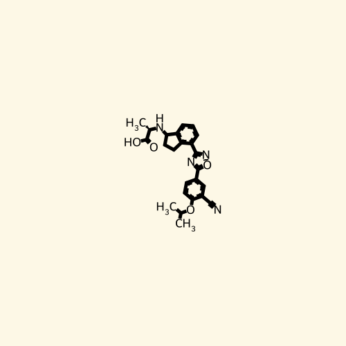 CC(C)Oc1ccc(-c2nc(-c3cccc4c3CCC4N[C@H](C)C(=O)O)no2)cc1C#N